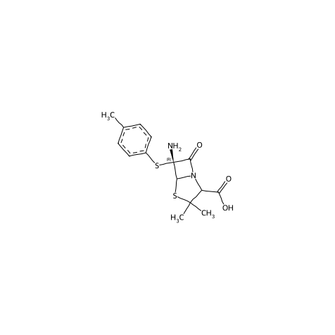 Cc1ccc(S[C@]2(N)C(=O)N3C(C(=O)O)C(C)(C)SC32)cc1